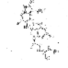 CCc1nn2cc(F)c(NC(C)(CO)c3ccc(F)cc3OC(C)CNC(=O)OC(C)(C)C)nc2c1C(=O)O